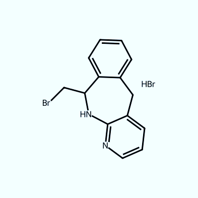 Br.BrCC1Nc2ncccc2Cc2ccccc21